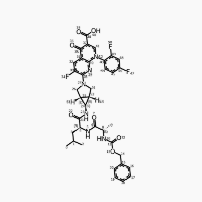 CC(C)C[C@H](NC(=O)[C@H](C)NC(=O)OCc1ccccc1)C(=O)N[C@H]1[C@@H]2CN(c3nc4c(cc3F)c(=O)c(C(=O)O)cn4-c3ccc(F)cc3F)C[C@@H]21